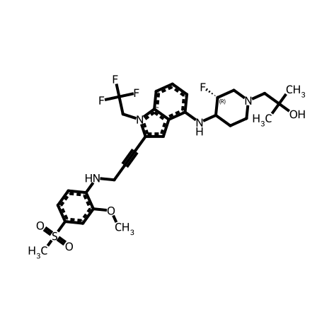 COc1cc(S(C)(=O)=O)ccc1NCC#Cc1cc2c(NC3CCN(CC(C)(C)O)C[C@H]3F)cccc2n1CC(F)(F)F